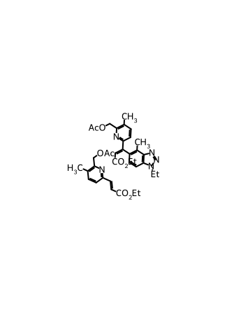 CCOC(=O)/C=C(/c1ccc(C)c(COC(C)=O)n1)c1ccc2c(nnn2CC)c1C.CCOC(=O)/C=C/c1ccc(C)c(COC(C)=O)n1